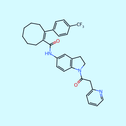 O=C(Nc1ccc2c(c1)CCN2C(=O)Cc1ccccn1)C1=C(c2ccc(C(F)(F)F)cc2)CCCCCC1